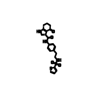 O=C(Nc1ccc(CCNS(=O)(=O)c2cccs2)cc1)c1c[nH]c2c1C(=O)CCC2